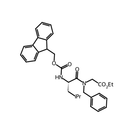 CCOC(=O)CN(Cc1ccccc1)C(=O)[C@H](CC(C)C)NC(=O)OCC1c2ccccc2-c2ccccc21